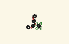 Cl[C@H]1[C@H](Cl)[C@@H](Cl)[C@@H](Cl)[C@H](Cl)[C@H]1Cl.O=C(c1ccc(Oc2ccccc2)cc1)c1ccc(Oc2ccccc2)cc1